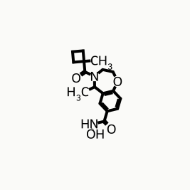 CC1c2cc(C(=O)NO)ccc2OCCN1C(=O)C1(C)CCC1